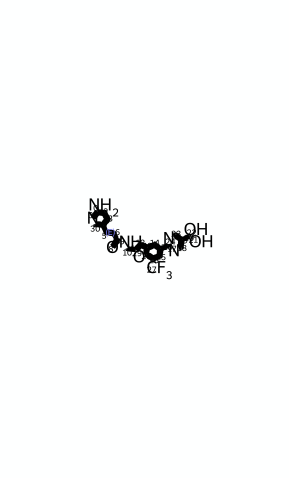 Nc1ccc(/C=C/C(=O)NCc2cc3cc(-c4ncc(C(O)O)cn4)cc(C(F)(F)F)c3o2)cn1